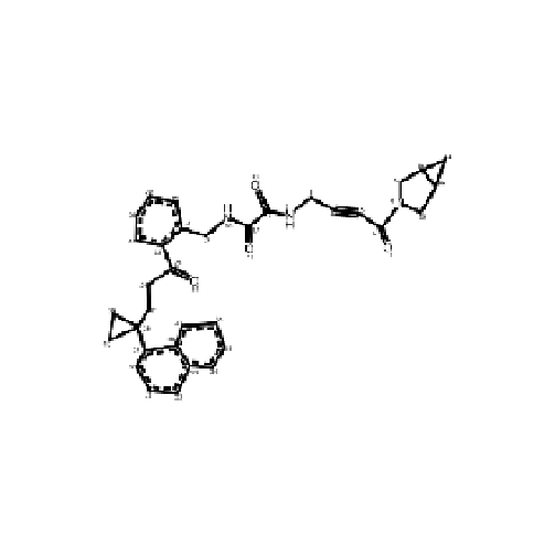 O=C(NCC#CC(=O)N1CC2CC2C1)C(=O)NCc1ccccc1C(=O)CCC1(c2cccc3ccccc23)CC1